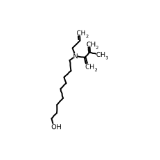 C=CCN(CCCCCCCCCO)C(=C)C(=C)C